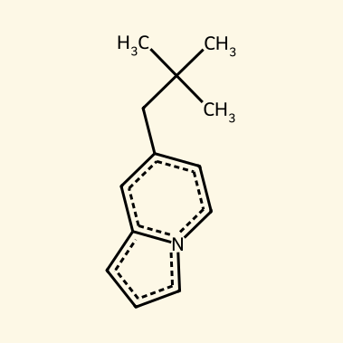 CC(C)(C)Cc1ccn2cccc2c1